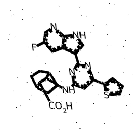 O=C(O)C1C2CCC(CC2)C1Nc1cc(-c2cccs2)nc(-c2c[nH]c3ncc(F)cc23)n1